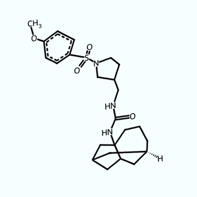 COc1ccc(S(=O)(=O)N2CCC(CNC(=O)NC34CCC[C@@H]5CC(CC3C5)C4)C2)cc1